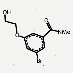 CNC(=O)c1cc(Br)cc(OCCO)c1